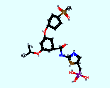 CC(C)Oc1cc(Oc2ccc(S(C)(=O)=O)cc2)cc(C(=O)Nc2ncc(CP(=O)(O)O)s2)c1